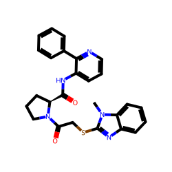 Cn1c(SCC(=O)N2CCC[C@H]2C(=O)Nc2cccnc2-c2ccccc2)nc2ccccc21